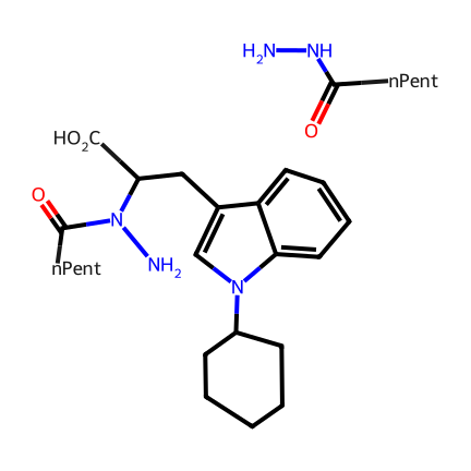 CCCCCC(=O)N(N)C(Cc1cn(C2CCCCC2)c2ccccc12)C(=O)O.CCCCCC(=O)NN